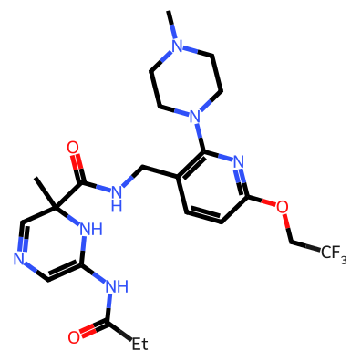 CCC(=O)NC1=CN=CC(C)(C(=O)NCc2ccc(OCC(F)(F)F)nc2N2CCN(C)CC2)N1